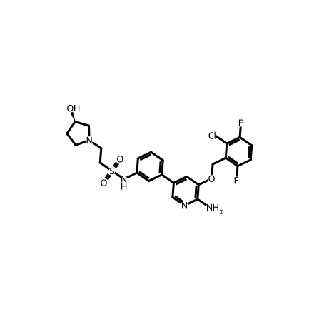 Nc1ncc(-c2cccc(NS(=O)(=O)CCN3CC[C@@H](O)C3)c2)cc1OCc1c(F)ccc(F)c1Cl